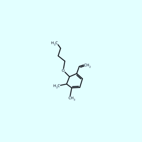 C=CC1=CC=C(C)C(C)C1OCCCC